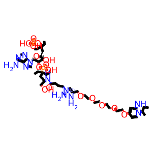 CCC(C)n1ccc(OCCOCCOCCOCCOC/C(N)=C/N(N)CCCC(=O)NC(CO)CC(CC)(CC)P(=O)(O)OC2C(O)[C@H](CC(CC)(CC)OP(=O)(O)O)O[C@@H]2n2cnc3c(N)ncnc32)cc1=N